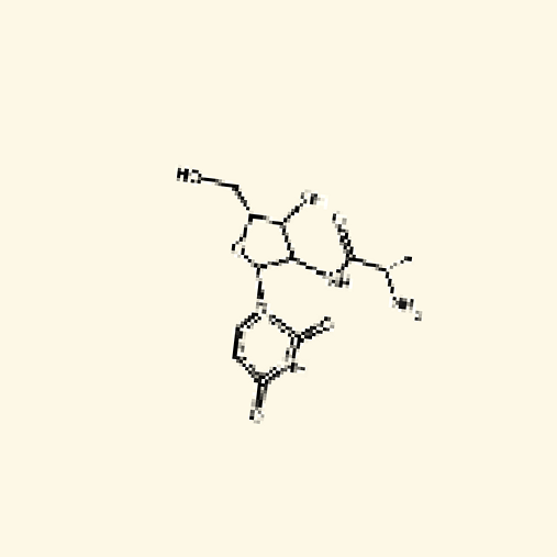 C[C@H](N)C(=O)NC1C(O)[C@H](CO)O[C@@H]1n1ccc(=O)[nH]c1=O